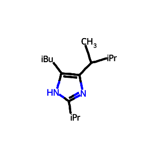 CCC(C)c1[nH]c(C(C)C)nc1C(C)C(C)C